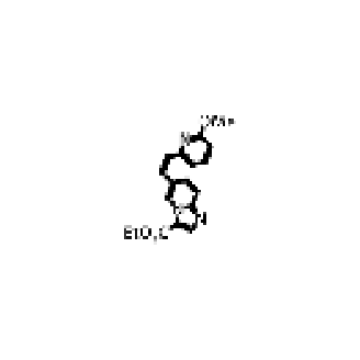 CCOC(=O)c1cnc2ccc(/C=C\c3cccc(OC)n3)cn12